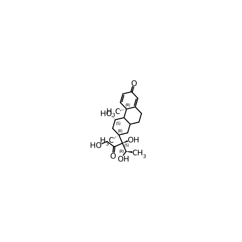 C[C@@H](O)[C@](O)(C(=O)CO)[C@]1(C)CC2CCC3=CC(=O)C=C[C@]3(C)C2[C@@H](O)C1